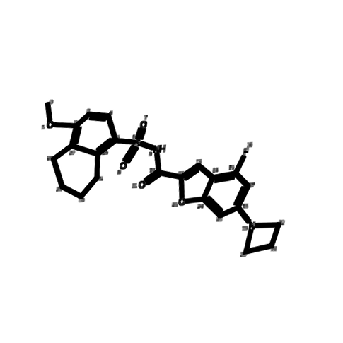 COc1ccc(S(=O)(=O)NC(=O)c2cc3c(F)cc(N4CCC4)cc3o2)c2c1CCCC2